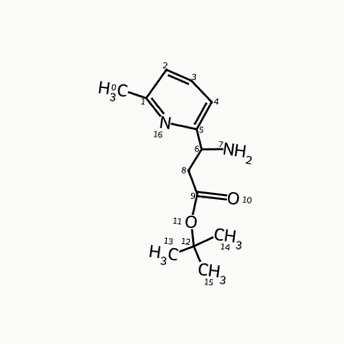 Cc1cccc(C(N)CC(=O)OC(C)(C)C)n1